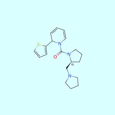 O=C(N1C=CC=CC1c1cccs1)N1CCC[C@H]1CN1CCCC1